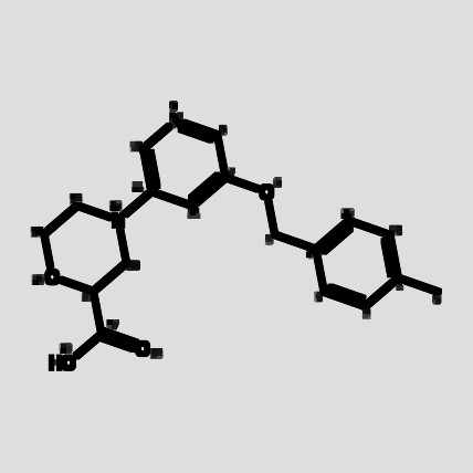 Cc1ccc(COc2cncc(N3CCOC(C(=O)O)C3)c2)cc1